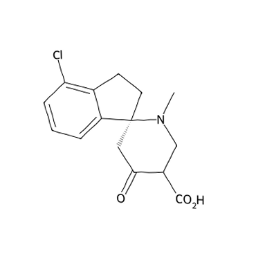 CN1CC(C(=O)O)C(=O)C[C@]12CCc1c(Cl)cccc12